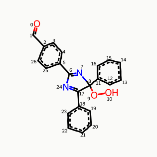 O=Cc1ccc(C2=NC(OO)(c3ccccc3)C(c3ccccc3)=N2)cc1